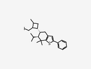 CC1C[C@H](C2Cc3cc(-c4ccccc4)sc3C(C)(C)[C@H]2C(C)C)C1CI